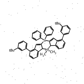 CC(C)(C)c1cccc(-c2cccc3c2C=C2[CH]3[Hf]([CH3])([CH3])[CH]3C(=Cc4c(-c5cccc(C(C)(C)C)c5)cccc43)[Si]2(c2ccccc2)c2ccccc2)c1